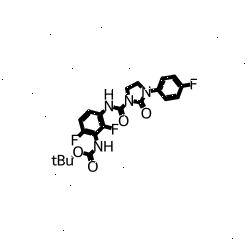 CC(C)(C)OC(=O)Nc1c(F)ccc(NC(=O)N2CCN(c3ccc(F)cc3)C2=O)c1F